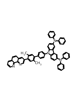 Cc1cc(-c2cnc3c(ccc4cccnc43)c2)c(C)cc1-c1ccc(-n2c3ccc(N(c4ccccc4)c4ccccc4)cc3c3cc(N(c4ccccc4)c4ccccc4)ccc32)cc1